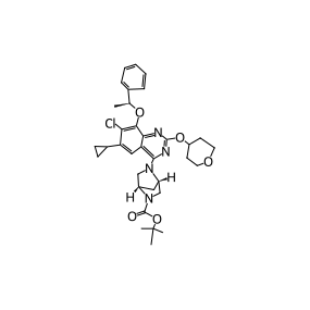 C[C@H](Oc1c(Cl)c(C2CC2)cc2c(N3C[C@@H]4C[C@H]3CN4C(=O)OC(C)(C)C)nc(OC3CCOCC3)nc12)c1ccccc1